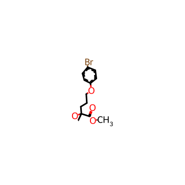 COC(=O)C1(CCCOc2ccc(Br)cc2)CO1